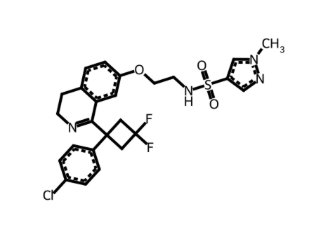 Cn1cc(S(=O)(=O)NCCOc2ccc3c(c2)C(C2(c4ccc(Cl)cc4)CC(F)(F)C2)=NCC3)cn1